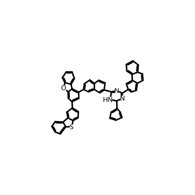 c1ccc(C2N=C(c3ccc4ccc5ccccc5c4c3)N=C(c3ccc4ccc(-c5cc(-c6ccc7sc8ccccc8c7c6)cc6oc7ccccc7c56)cc4c3)N2)cc1